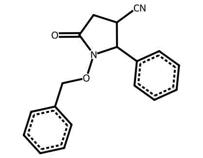 N#CC1CC(=O)N(OCc2ccccc2)C1c1ccccc1